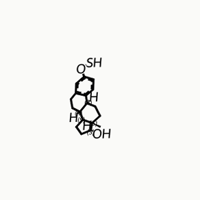 C[C@]12CC[C@@H]3c4ccc(OS)cc4CC[C@H]3[C@@H]1CC[C@@H]2O